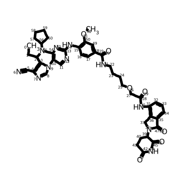 CCC1c2c(C#N)ncn2-c2cnc(Nc3ccc(C(=O)NCCCCOCC(=O)Nc4cccc5c4CN(C4CCC(=O)NC4=O)C5=O)cc3OC)nc2N1C1CCCC1